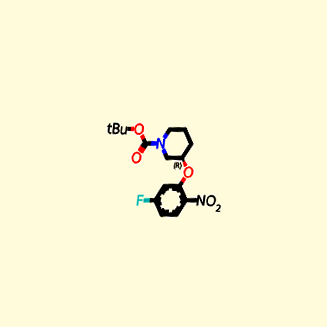 CC(C)(C)OC(=O)N1CCC[C@@H](Oc2cc(F)ccc2[N+](=O)[O-])C1